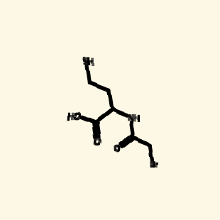 O=C(CBr)NC(CCS)C(=O)O